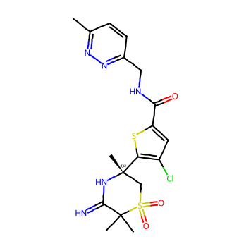 Cc1ccc(CNC(=O)c2cc(Cl)c([C@]3(C)CS(=O)(=O)C(C)(C)C(=N)N3)s2)nn1